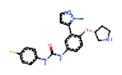 Cn1nccc1-c1cc(NC(=O)Nc2ccc(F)cc2)ccc1O[C@@H]1CCNC1